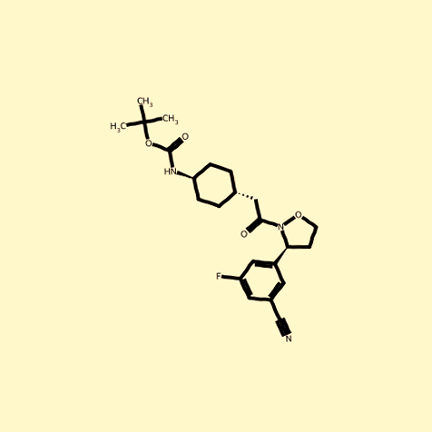 CC(C)(C)OC(=O)N[C@H]1CC[C@H](CC(=O)N2OCC[C@H]2c2cc(F)cc(C#N)c2)CC1